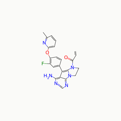 C=CC(=O)N1CCn2c1c(-c1ccc(Oc3cccc(C)n3)c(F)c1)c1c(N)ncnc12